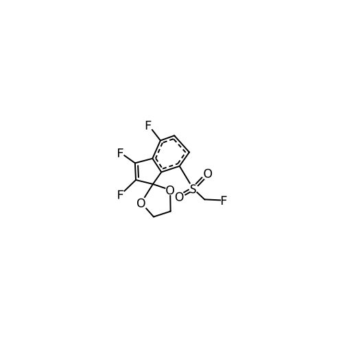 O=S(=O)(CF)c1ccc(F)c2c1C1(OCCO1)C(F)=C2F